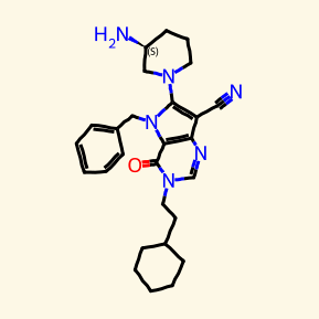 N#Cc1c(N2CCC[C@H](N)C2)n(Cc2ccccc2)c2c(=O)n(CCC3CCCCC3)cnc12